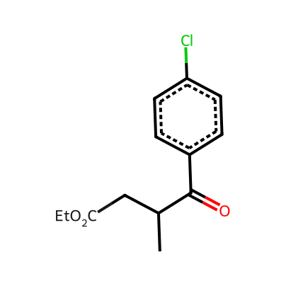 CCOC(=O)CC(C)C(=O)c1ccc(Cl)cc1